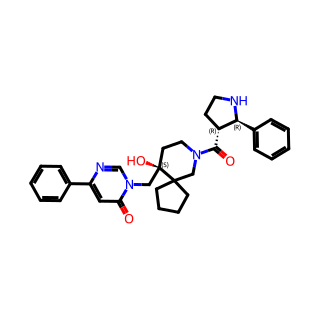 O=C([C@@H]1CCN[C@H]1c1ccccc1)N1CC[C@@](O)(Cn2cnc(-c3ccccc3)cc2=O)C2(CCCC2)C1